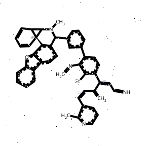 C=Nc1c(-c2cccc(C3c4ccc5c(oc6ccccc65)c4[C@@]45C=CC=CC4C5N3C)c2)ccc(/C(=C/C=N)C(=C)/C=C\c2cccnc2C)c1CC